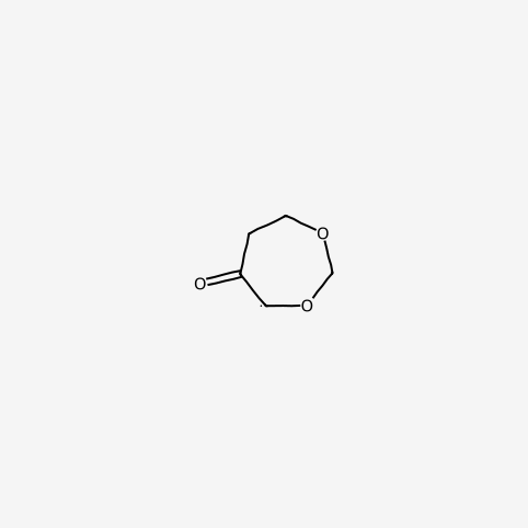 O=C1[CH]OCOCC1